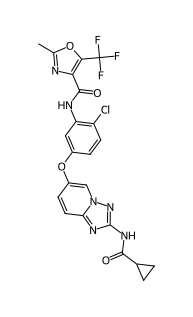 Cc1nc(C(=O)Nc2cc(Oc3ccc4nc(NC(=O)C5CC5)nn4c3)ccc2Cl)c(C(F)(F)F)o1